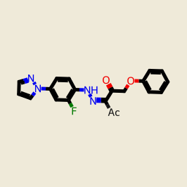 CC(=O)C(=NNc1ccc(-n2cccn2)cc1F)C(=O)COc1ccccc1